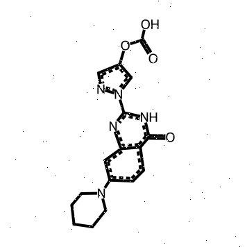 O=C(O)Oc1cnn(-c2nc3cc(N4CCCCC4)ccc3c(=O)[nH]2)c1